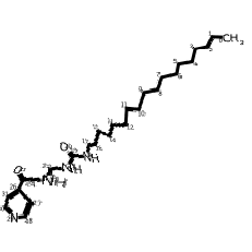 CCCCCCCCCCCCCCCCCCNC(=O)NCNC(=O)c1ccncc1